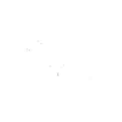 CC[C@H]1C=C2CC(=O)CC[C@]2(C)[C@H]2CC[C@]3(C)C(c4ncccn4)=CC[C@H]3[C@H]12